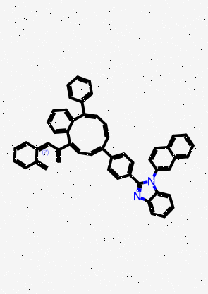 C=C(/C=c1/ccccc1=C)c1ccc(-c2ccc(-c3nc4ccccc4n3-c3ccc4ccccc4c3)cc2)cccc(-c2ccccc2)c2ccccc12